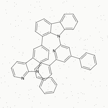 c1ccc(-c2cc(-c3ccccc3)nc(-n3c4ccccc4c4cccc(-c5ccc6c(c5)c5cccnc5n6-c5ccccc5)c43)c2)cc1